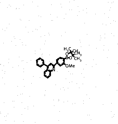 COc1cc(-c2cc(-c3ccccc3)c3ccccc3n2)ccc1B1OC(C)(C)C(C)(C)O1